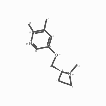 Cc1cc(OC[C@@H]2CCN2C)cnc1C